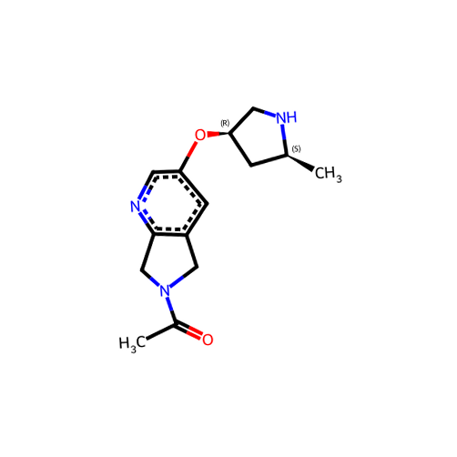 CC(=O)N1Cc2cc(O[C@H]3CN[C@@H](C)C3)cnc2C1